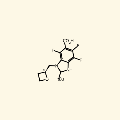 CC(C)(C)C1Nc2c(F)c(F)c(C(=O)O)c(F)c2N1C[C@@H]1CCO1